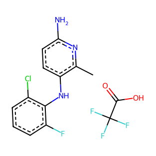 Cc1nc(N)ccc1Nc1c(F)cccc1Cl.O=C(O)C(F)(F)F